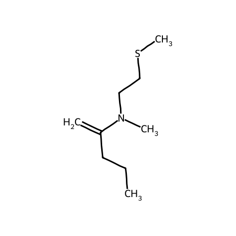 C=C(CCC)N(C)CCSC